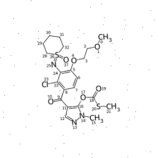 COCCOc1ccc(C(=O)c2cnn(C)c2OC(=O)SC)c(Cl)c1N=S1(=O)CCCCC1